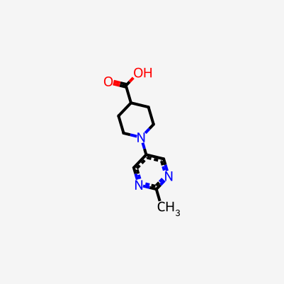 Cc1ncc(N2CCC(C(=O)O)CC2)cn1